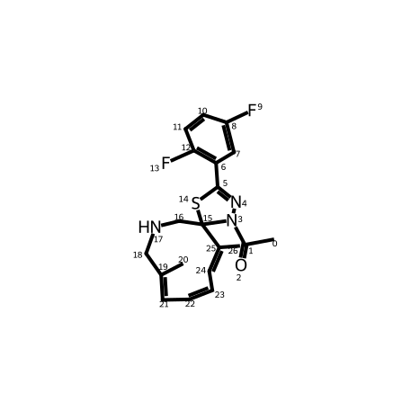 CC(=O)N1N=C(c2cc(F)ccc2F)SC12CNC/C(C)=C/C=C\C=C\2C